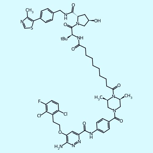 Cc1ncsc1-c1ccc(CNC(=O)[C@@H]2C[C@@H](O)CN2C(=O)[C@@H](NC(=O)CCCCCCCCC(=O)N2[C@H](C)CN(C(=O)c3ccc(NC(=O)c4cc(OCCc5c(Cl)ccc(F)c5Cl)c(N)nn4)cc3)C[C@@H]2C)C(C)(C)C)cc1